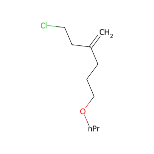 C=C(CCCl)CCCOCCC